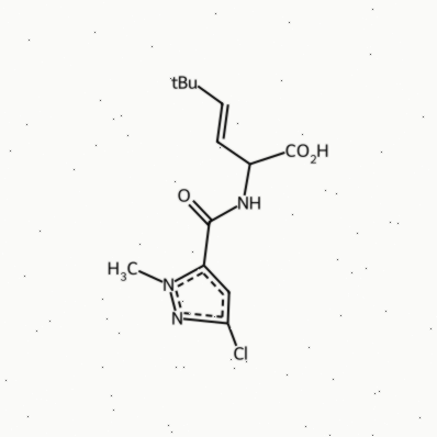 Cn1nc(Cl)cc1C(=O)NC(/C=C/C(C)(C)C)C(=O)O